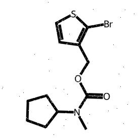 CN(C(=O)OCc1ccsc1Br)C1CCCC1